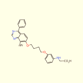 CCCc1c(OCCCCOc2cccc(NCC(=O)O)c2)ccc2c(-c3ccccc3)ncnc12